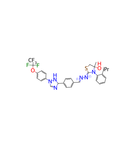 CC(C)c1ccccc1N1/C(=N/N=C/c2ccc(C3N=CN(c4ccc(OC(F)(F)C(F)(F)F)cc4)N3)cc2)SCC1(C)O